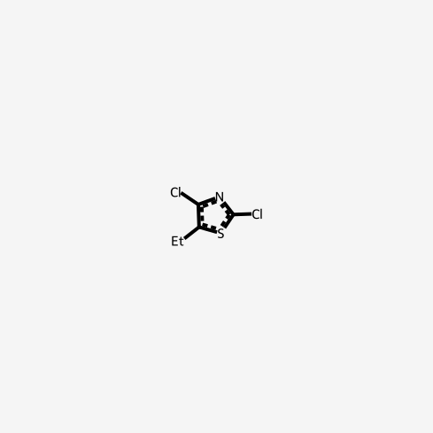 CCc1sc(Cl)nc1Cl